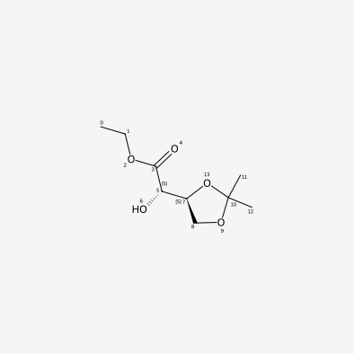 CCOC(=O)[C@@H](O)[C@@H]1COC(C)(C)O1